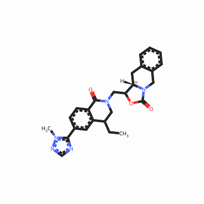 CCC1CN(CC2OC(=O)N3Cc4ccccc4C[C@@H]23)C(=O)c2ccc(-c3ncnn3C)cc21